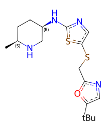 C[C@H]1CC[C@@H](Nc2ncc(SCc3ncc(C(C)(C)C)o3)s2)CN1